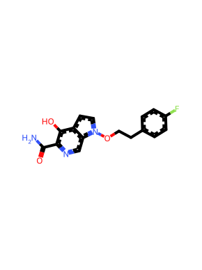 NC(=O)c1ncc2c(ccn2OCCc2ccc(F)cc2)c1O